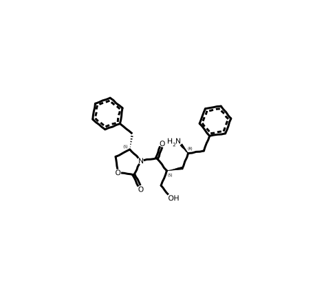 N[C@@H](Cc1ccccc1)C[C@@H](CO)C(=O)N1C(=O)OC[C@@H]1Cc1ccccc1